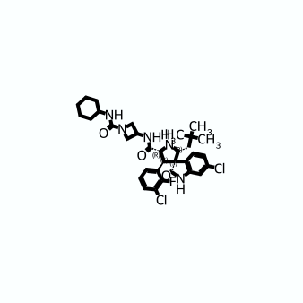 CC(C)(C)C[C@H]1N[C@@H](C(=O)NC2CN(C(=O)NC3CCCCC3)C2)[C@H](c2cccc(Cl)c2F)[C@@]12C(=O)Nc1cc(Cl)ccc12